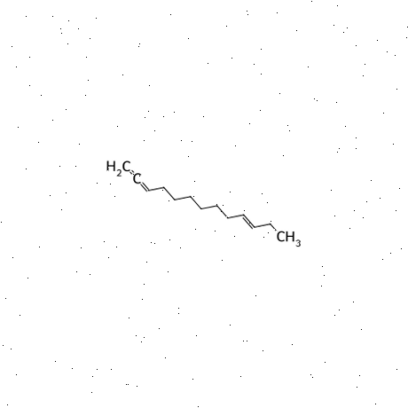 C=C=CCCCCCCC=CCC